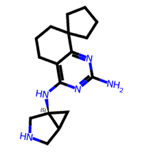 Nc1nc(N[C@]23CNCC2C3)c2c(n1)C1(CCCC1)CCC2